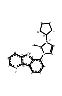 C[C@@H]1N(c2cccc3c2oc2cccnc23)C=CN1C1CCCC1